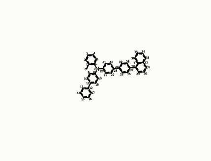 Cc1ccccc1N(c1ccc(-c2ccccc2)cc1)c1ccc(-c2ccc(-c3cccc4ccccc34)cc2)cc1